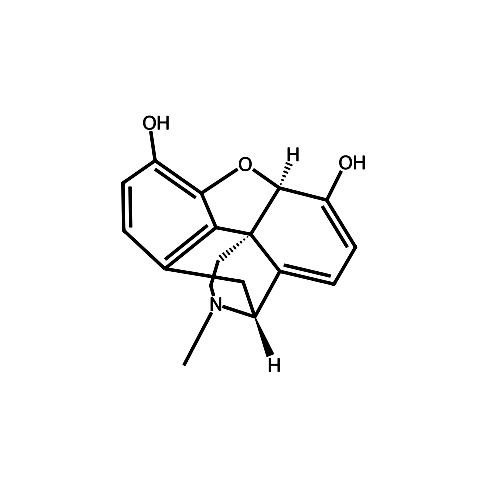 CN1CC[C@@]23C4=CC=C(O)[C@@H]2Oc2c(O)ccc(c23)C[C@H]41